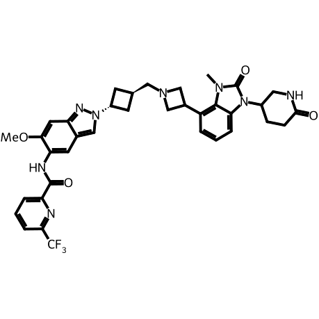 COc1cc2nn([C@H]3C[C@H](CN4CC(c5cccc6c5n(C)c(=O)n6C5CCC(=O)NC5)C4)C3)cc2cc1NC(=O)c1cccc(C(F)(F)F)n1